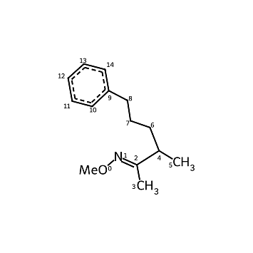 CON=C(C)C(C)CCCc1ccccc1